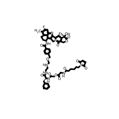 CC[C@@]1(O)C(=O)OCc2c1cc1n(c2=O)Cc2c-1nc1cc(F)c(C)c3c1c2[C@@H](NC(=O)c1ccc(COCNCCNC(=O)[C@H](Cc2ccccc2)NC(=O)COC(=O)CNC(=O)CCCCCN2C(=O)C=CC2=O)cc1)CC3